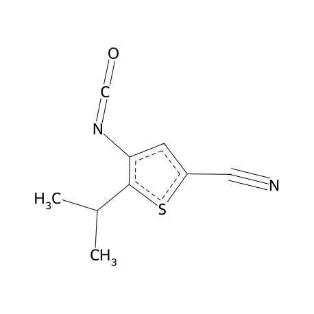 CC(C)c1sc(C#N)cc1N=C=O